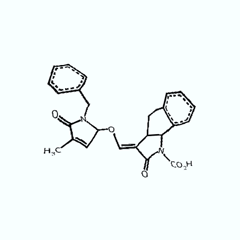 CC1=CC(OC=C2C(=O)N(C(=O)O)C3c4ccccc4CC23)N(Cc2ccccc2)C1=O